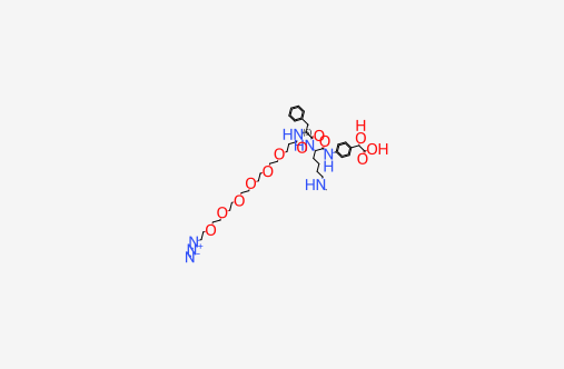 CNCCCCC(NC(=O)[C@H](Cc1ccccc1)NC(=O)CCOCCOCCOCCOCCOCCOCCN=[N+]=[N-])C(=O)Nc1ccc(C(O)C(=O)O)cc1